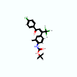 Cc1cc(/C(=C\C(=O)c2ccc(Cl)cc2)C(F)(F)F)ccc1NC(=O)OC(C)(C)C